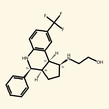 OCCN[C@H]1CC[C@@H]2[C@H]1c1cc(C(F)(F)F)ccc1N[C@@H]2c1ccccc1